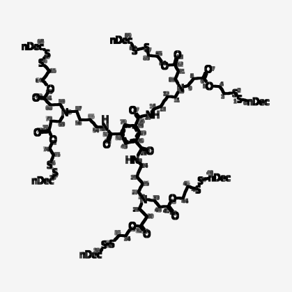 CCCCCCCCCCSSCCOC(=O)CCN(CCCCNC(=O)c1cc(C(=O)NCCCCN(CCC(=O)OCCSSCCCCCCCCCC)CCC(=O)OCCSSCCCCCCCCCC)cc(C(=O)NCCCCN(CCC(=O)OCCSSCCCCCCCCCC)CCC(=O)OCCSSCCCCCCCCCC)c1)CCC(=O)OCCSSCCCCCCCCCC